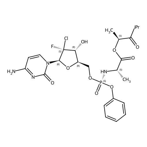 CC(C)C(=O)[C@H](C)OC(=O)[C@H](C)N[P@](=O)(OC[C@H]1O[C@@H](n2ccc(N)nc2=O)[C@@](F)(Cl)[C@@H]1O)Oc1ccccc1